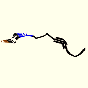 CCC#CCCN=C=S